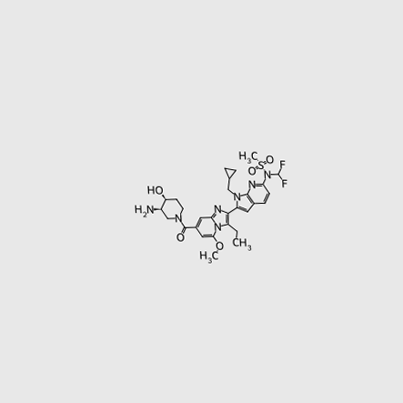 CCc1c(-c2cc3ccc(N(C(F)F)S(C)(=O)=O)nc3n2CC2CC2)nc2cc(C(=O)N3CC[C@H](O)[C@H](N)C3)cc(OC)n12